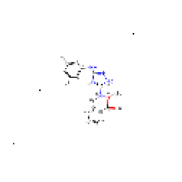 Cc1cc(C)cc(Nc2n[nH]c(NCc3ccccc3C(=O)OC(C)(C)C)n2)c1